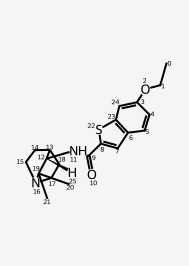 CCOc1ccc2cc(C(=O)N[C@H]3C4CCN(CC4)C3(C)C)sc2c1